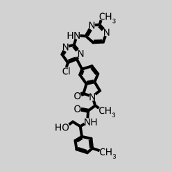 Cc1cccc(C(CO)NC(=O)C(C)N2Cc3ccc(-c4nc(Nc5ccnc(C)n5)ncc4Cl)cc3C2=O)c1